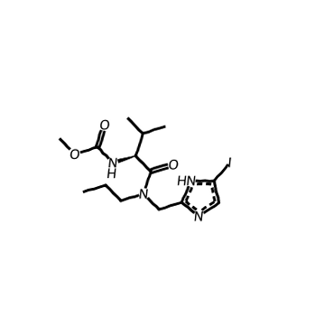 CCCN(Cc1ncc(I)[nH]1)C(=O)[C@@H](NC(=O)OC)C(C)C